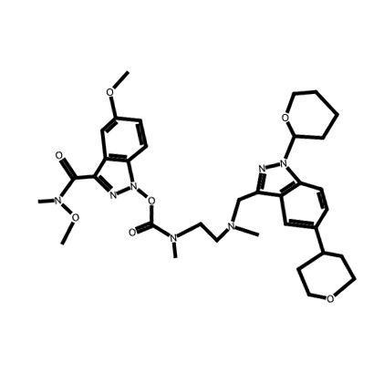 COc1ccc2c(c1)c(C(=O)N(C)OC)nn2OC(=O)N(C)CCN(C)Cc1nn(C2CCCCO2)c2ccc(C3CCOCC3)cc12